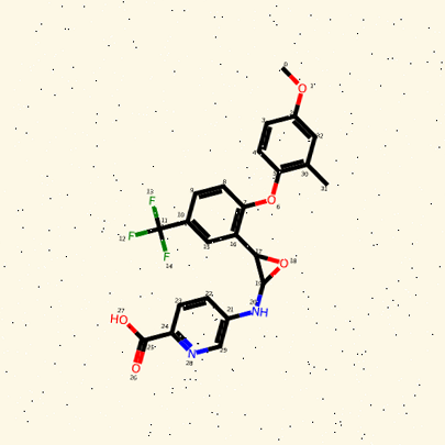 COc1ccc(Oc2ccc(C(F)(F)F)cc2C2OC2Nc2ccc(C(=O)O)nc2)c(C)c1